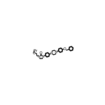 CC(C)OCCN1CCN(c2ccc(N3CCN(c4ccc(OCc5ccccc5)cc4)CC3)cc2)C1=O